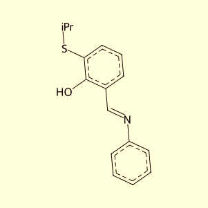 CC(C)Sc1cccc(/C=N/c2ccccc2)c1O